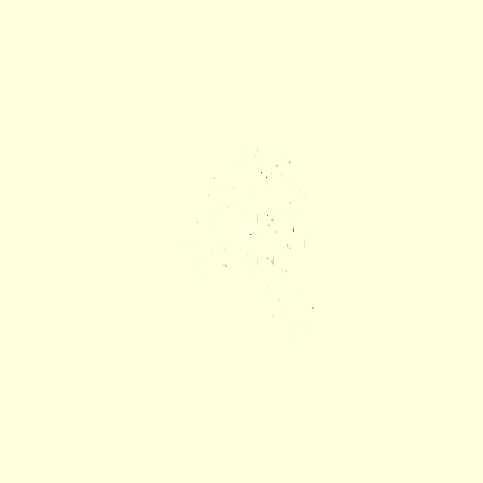 CCOC(=O)[C@H](Cc1ccc(OCc2ccccc2)cc1)NC(=O)[C@H]1O[C@@H]1C(=O)N[C@H](CCCC(=O)O)C(O)NCCc1ccccc1